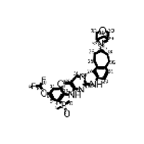 CP(C)(=O)c1cc(OC(F)F)ccc1Nc1nc(Nc2ccc3c(c2)CC[C@H](N2C4COCC2C4)CC3)ncc1Cl